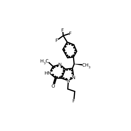 Cc1nc2c([C@H](C)c3ccc(C(F)(F)F)cc3)nn(CCF)c2c(=O)[nH]1